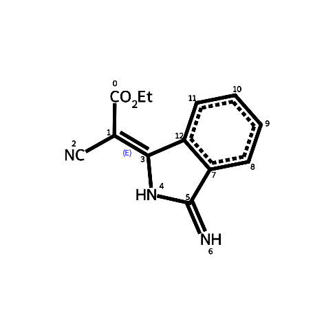 CCOC(=O)/C(C#N)=C1/NC(=N)c2ccccc21